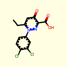 CCc1cc(=O)c(C(=O)O)nn1-c1ccc(Cl)c(Cl)c1